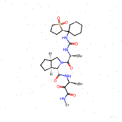 CCCC[C@H](NC(=O)[C@@H]1[C@H]2CCC[C@H]2CN1C(=O)[C@@H](NC(=O)NC1([C@H]2CCCS2(=O)=O)CCCCC1)C(C)(C)C)C(=O)C(=O)NCC